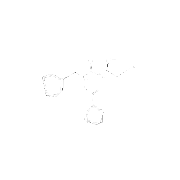 CC(C)C[C@H](O)NC(=O)[C@H](Cc1ccccc1)NC(=O)c1cnccn1